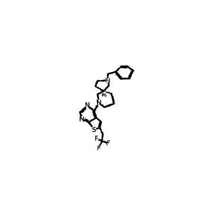 FC(F)(F)Cc1cc2c(N3CCC[C@]4(CCN(Cc5ccccc5)C4)C3)ncnc2s1